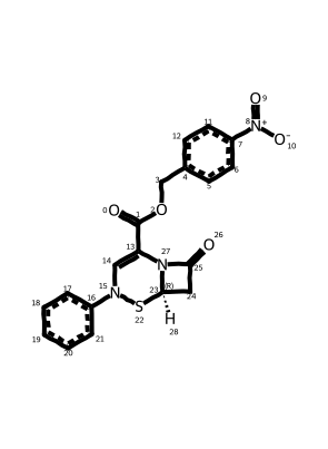 O=C(OCc1ccc([N+](=O)[O-])cc1)C1=CN(c2ccccc2)S[C@@H]2CC(=O)N12